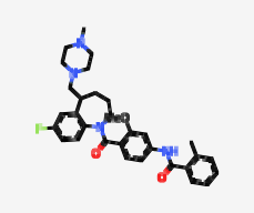 COc1cc(NC(=O)c2ccccc2C)ccc1C(=O)N1CCCC(CN2CCN(C)CC2)c2cc(F)ccc21